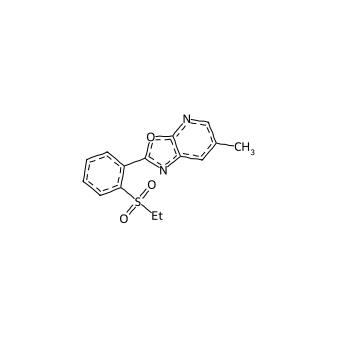 CCS(=O)(=O)c1ccccc1-c1nc2cc(C)cnc2o1